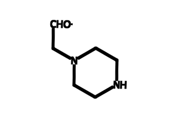 O=[C]CN1CCNCC1